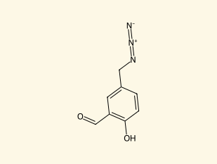 [N-]=[N+]=NCc1ccc(O)c(C=O)c1